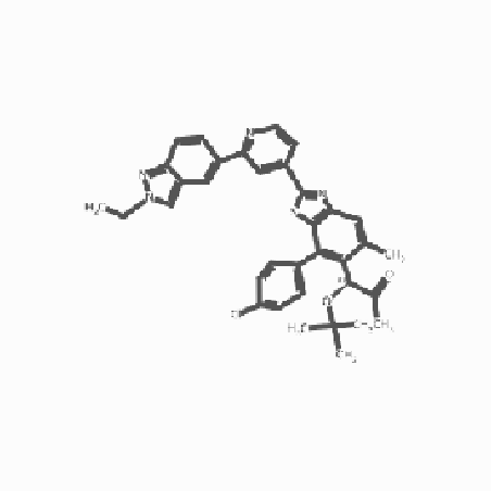 CCn1cc2cc(-c3cc(-c4nc5cc(C)c([C@H](OC(C)(C)C)C(C)=O)c(-c6ccc(Cl)cc6)c5s4)ccn3)ccc2n1